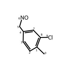 Cc1ccc(CN=O)cc1Cl